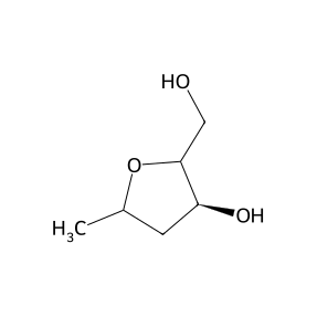 CC1C[C@H](O)C(CO)O1